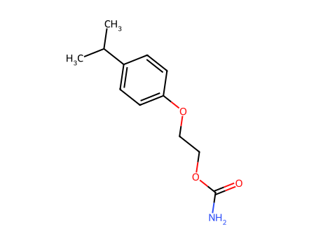 CC(C)c1ccc(OCCOC(N)=O)cc1